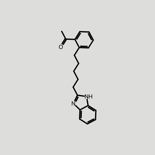 CC(=O)c1ccccc1CCCCCc1nc2ccccc2[nH]1